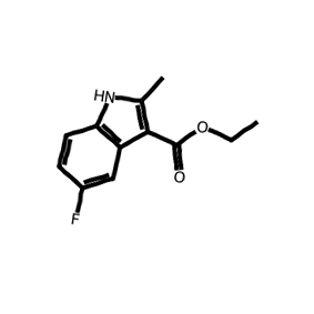 CCOC(=O)c1c(C)[nH]c2ccc(F)cc12